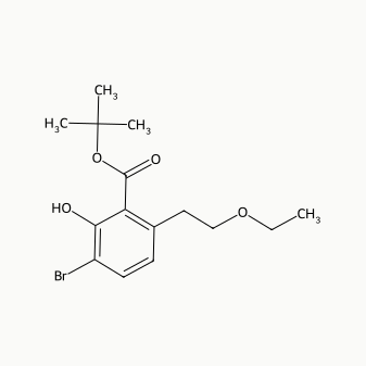 CCOCCc1ccc(Br)c(O)c1C(=O)OC(C)(C)C